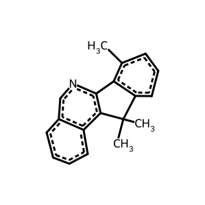 Cc1cccc2c1-c1ncc3ccccc3c1C2(C)C